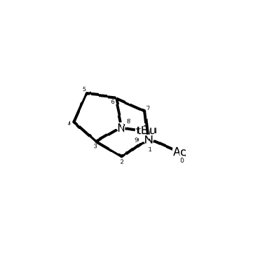 CC(=O)N1CC2CCC(C1)N2C(C)(C)C